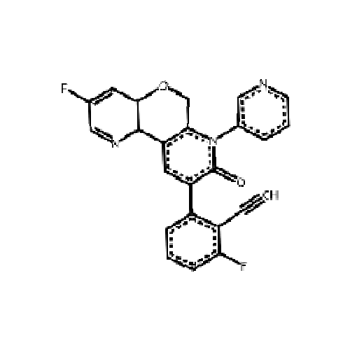 C#Cc1c(F)cccc1-c1cc2c(n(-c3cccnc3)c1=O)COC1C=C(F)C=NC21